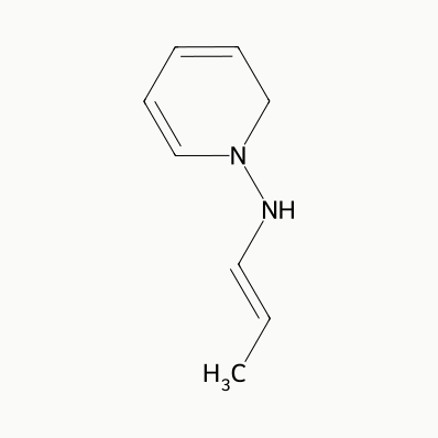 CC=CNN1C=CC=CC1